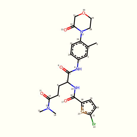 Cc1cc(NC(=O)C(CCC(=O)N(C)C)NC(=O)c2ccc(Br)s2)ccc1N1CCOCC1=O